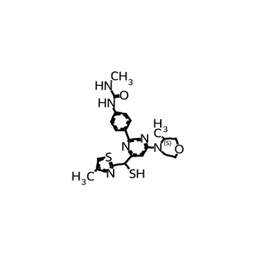 CNC(=O)Nc1ccc(-c2nc(C(S)c3nc(C)cs3)cc(N3CCOC[C@@H]3C)n2)cc1